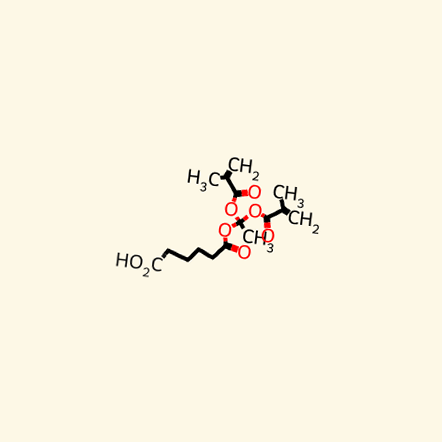 C=C(C)C(=O)OC(C)(OC(=O)CCCCC(=O)O)OC(=O)C(=C)C